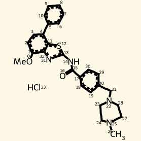 COc1ccc(-c2ccccc2)c2sc(NC(=O)c3ccc(CN4CCN(C)CC4)cc3)nc12.Cl